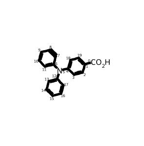 O=C(O)c1ccc(N(c2c#cccc2)c2ccccc2)cc1